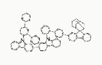 c1ccc(-c2ccc(-n3c4ccccc4c4ccc(-c5ccc6c7ccccc7n(-c7ccccc7-c7ccc(-c8ccc9c(c8)C8(c%10ccccc%10-9)C9CC%10CC(C9)CC8C%10)cc7)c6c5)cc43)c(-c3ccccc3)c2)cc1